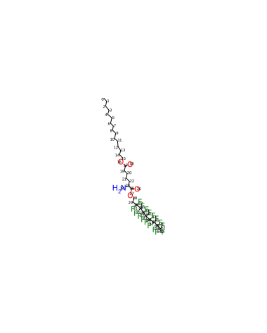 CCCCCCCCCCCCCCCCOC(=O)CCCCC(N)C(=O)OCCC(F)(F)C(F)(F)C(F)(F)C(F)(F)C(F)(F)C(F)(F)C(F)(F)C(F)(F)F